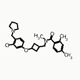 Cc1ccc(C(=O)N(C)CC2CC(Oc3ccc(CN4CCCC4)c(Cl)c3)C2)c(C)c1